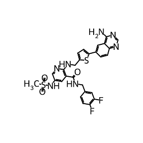 CS(=O)(=O)Nc1cnc(NCc2ccc(-c3ccc4ncnc(N)c4c3)s2)c(C(=O)NCc2ccc(F)c(F)c2)c1